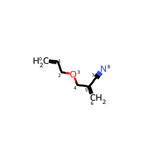 C=CCOCC(=C)C#N